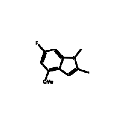 COc1cc(F)cc2c1cc(C)n2C